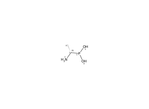 C[C@@H](N)P(O)O